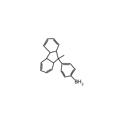 Bc1ccc(C2(C)C3C=CC=CC3C3C=CC=CC32)cc1